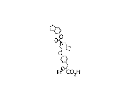 CCOC(Cc1ccc(OCCN(CC2CCC2)C(=O)Oc2ccc3c(c2)CCC3)cc1)C(=O)O